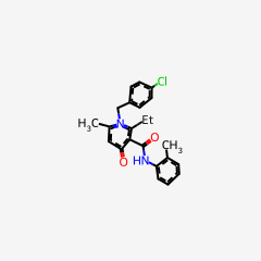 CCc1c(C(=O)Nc2ccccc2C)c(=O)cc(C)n1Cc1ccc(Cl)cc1